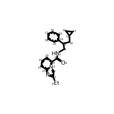 CCc1cn2c(C(=O)NCC(CC3CC3)c3ccccc3)cccc2n1